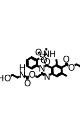 CCOC(=O)c1c(C)cc2nc(COC(=O)NCCO)n(-c3ccccc3S(=O)(=O)NC)c(=O)c2c1C